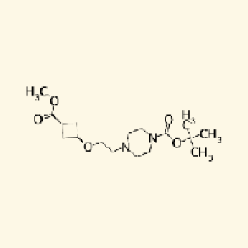 COC(=O)[C@H]1C[C@@H](OCCN2CCN(C(=O)OC(C)(C)C)CC2)C1